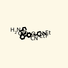 CCC(F)(CC)CN1CCC(COc2ccc(C3C=CC=CC3(F)C(=O)N3CCCC3C(N)=O)cc2C#N)CC1